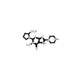 Cn1c(N2CCCC2C(=O)O)nc2nc(N3CCNCC3)[nH]c2c1=O